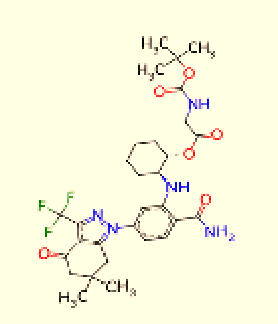 CC1(C)CC(=O)c2c(C(F)(F)F)nn(-c3ccc(C(N)=O)c(N[C@H]4CCCC[C@@H]4OC(=O)CNC(=O)OC(C)(C)C)c3)c2C1